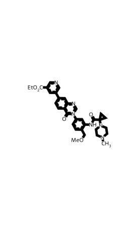 CCOC(=O)c1cncc(-c2ccc3c(=O)n(-c4ccc(COC)c(NC(=O)C5(N6CCN(C)CC6)CC5)c4)cnc3c2)c1